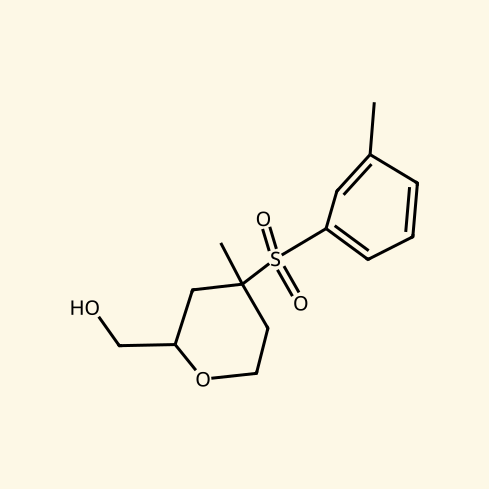 Cc1cccc(S(=O)(=O)C2(C)CCOC(CO)C2)c1